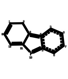 C1=CCC2=c3ccccc3=PC2=C1